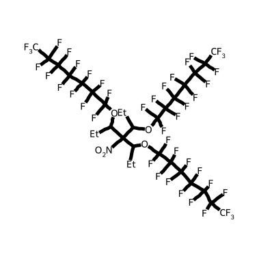 CCC(OC(F)(F)C(F)(F)C(F)(F)C(F)(F)C(F)(F)C(F)(F)C(F)(F)F)C(C(CC)OC(F)(F)C(F)(F)C(F)(F)C(F)(F)C(F)(F)C(F)(F)C(F)(F)F)(C(CC)OC(F)(F)C(F)(F)C(F)(F)C(F)(F)C(F)(F)C(F)(F)C(F)(F)F)[N+](=O)[O-]